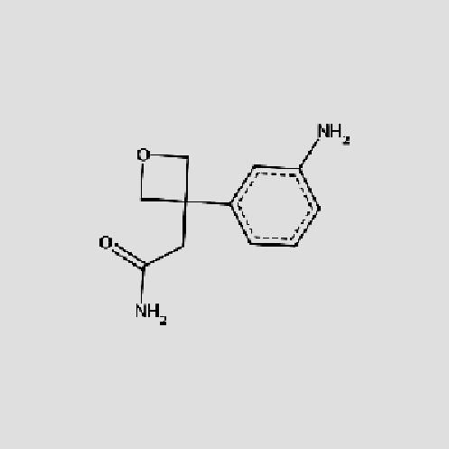 NC(=O)CC1(c2cccc(N)c2)COC1